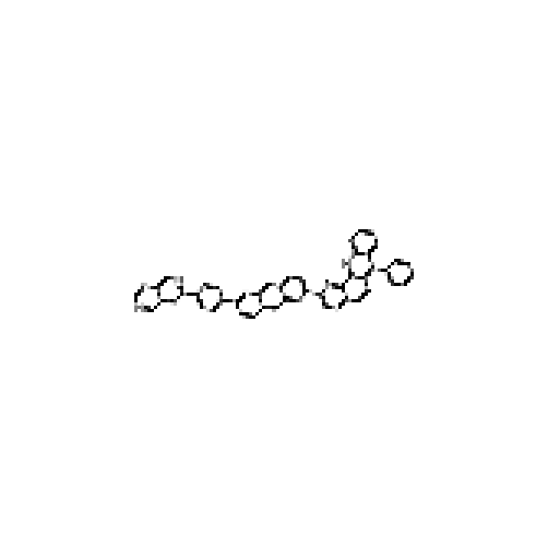 c1ccc(-c2c3ccccc3nc3c2ccc2ccc(-c4ccc5cc6cc(-c7ccc(-c8cc9cnccc9cn8)cc7)ccc6cc5c4)nc23)cc1